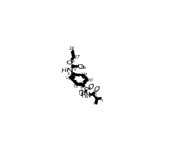 C=C(C)C(=O)NS(=O)(=O)c1ccc(NC(=O)OCC)cc1